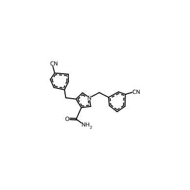 N#Cc1ccc(Cc2cn(Cc3cccc(C#N)c3)cc2C(N)=O)cc1